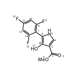 COC(=O)c1c[nH]c(-c2c(F)cc(F)cc2F)c1O